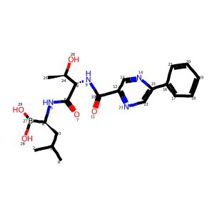 CC(C)C[C@H](NC(=O)[C@@H](NC(=O)c1cnc(-c2ccccc2)cn1)[C@@H](C)O)B(O)O